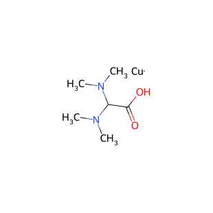 CN(C)C(C(=O)O)N(C)C.[Cu]